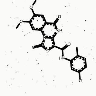 COc1cc2c(=O)[nH]c3c(C(=O)Nc4cc(Cl)ccc4C)sc(=S)n3c2cc1OC